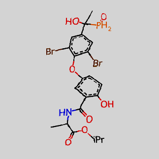 CC(C)OC(=O)C(C)NC(=O)c1cc(Oc2c(Br)cc(C(C)(O)[PH2]=O)cc2Br)ccc1O